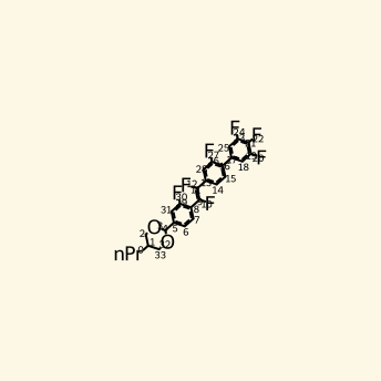 CCCC1COC(c2ccc(/C(F)=C(\F)c3ccc(-c4cc(F)c(F)c(F)c4)c(F)c3)c(F)c2)OC1